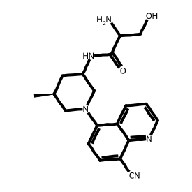 C[C@H]1CC(NC(=O)C(N)CO)CN(c2ccc(C#N)c3ncccc23)C1